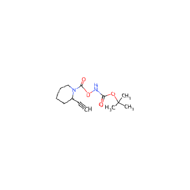 C#CC1CCCCN1C(=O)ONC(=O)OC(C)(C)C